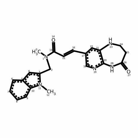 CN(Cc1cc2ccccc2n1C)C(=O)/C=C/c1cnc2c(c1)NCCC(=O)N2